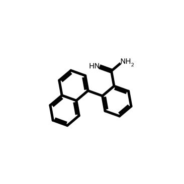 N=C(N)c1ccccc1-c1cccc2ccccc12